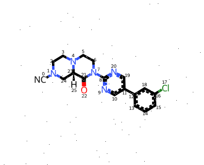 N#CN1CCN2CCN(c3ncc(-c4cccc(Cl)c4)cn3)C(=O)[C@@H]2C1